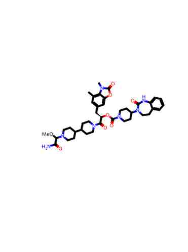 COC(C(N)=O)N1CCC(C2CCN(C(=O)[C@@H](Cc3cc(C)c4c(c3)oc(=O)n4C)OC(=O)N3CCC(N4CCc5ccccc5NC4=O)CC3)CC2)CC1